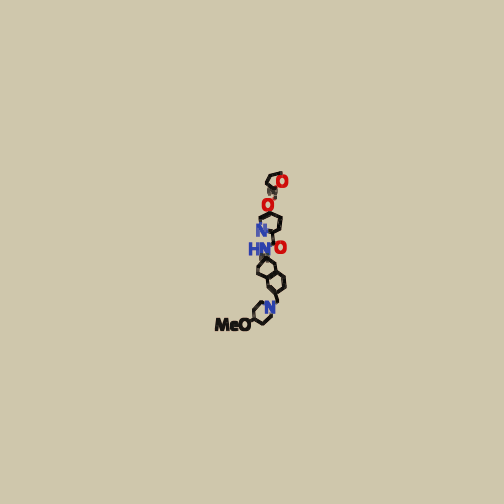 COC1CCN(Cc2ccc3c(c2)CC[C@H](NC(=O)c2ccc(OC[C@@H]4CCCO4)cn2)C3)CC1